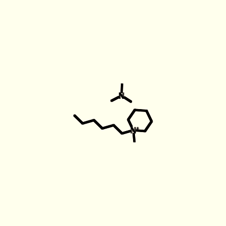 CCCCCC[N+]1(C)CCCCC1.CN(C)C